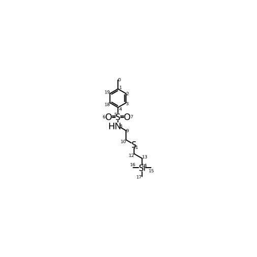 Cc1ccc(S(=O)(=O)NCCSCC[Si](C)(C)C)cc1